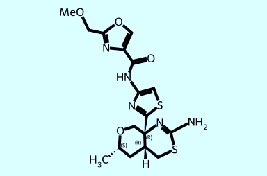 COCc1nc(C(=O)Nc2csc([C@]34CO[C@@H](C)C[C@H]3CSC(N)=N4)n2)co1